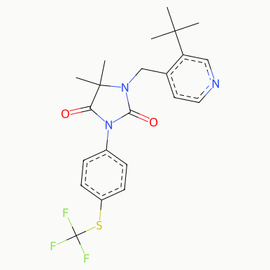 CC(C)(C)c1cnccc1CN1C(=O)N(c2ccc(SC(F)(F)F)cc2)C(=O)C1(C)C